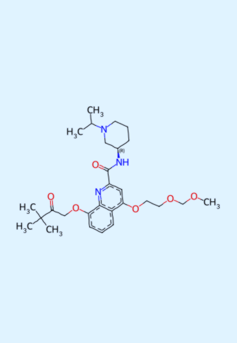 COCOCCOc1cc(C(=O)N[C@@H]2CCCN(C(C)C)C2)nc2c(OCC(=O)C(C)(C)C)cccc12